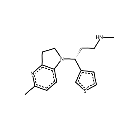 CNCC[C@H](c1ccsc1)N1CCc2nc(C)ccc21